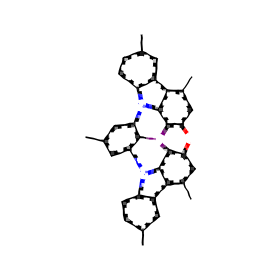 Cc1ccc2c(c1)c1c(C)cc3oc4cc(C)c5c6cc(C)ccc6n6c7cc(C)cc8c7-p(c3c1n82)c4c56